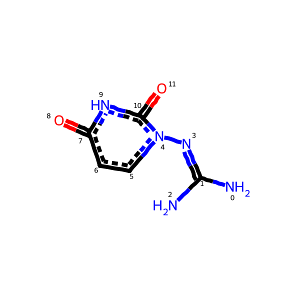 NC(N)=Nn1ccc(=O)[nH]c1=O